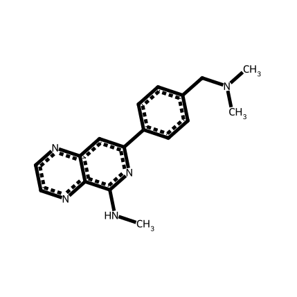 CNc1nc(-c2ccc(CN(C)C)cc2)cc2nccnc12